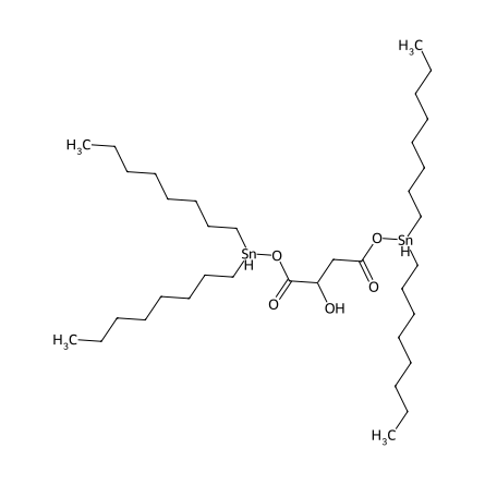 CCCCCCC[CH2][SnH]([CH2]CCCCCCC)[O]C(=O)CC(O)C(=O)[O][SnH]([CH2]CCCCCCC)[CH2]CCCCCCC